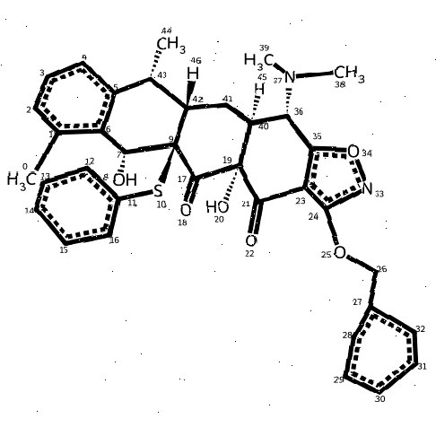 Cc1cccc2c1[C@@H](O)[C@@]1(Sc3ccccc3)C(=O)[C@]3(O)C(=O)c4c(OCc5ccccc5)noc4[C@@H](N(C)C)[C@@H]3C[C@H]1[C@H]2C